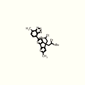 CCCCC(CC)CC1(CC(CC)CCCC)c2cc(C)sc2-c2sc(-c3ccc(C)c4nsnc34)cc21